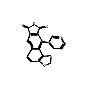 O=C1NC(=O)c2c1cc1ccc3c(c1c2-c1cccnc1)OCO3